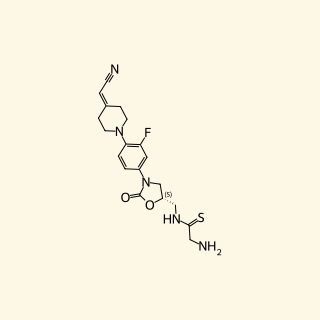 N#CC=C1CCN(c2ccc(N3C[C@H](CNC(=S)CN)OC3=O)cc2F)CC1